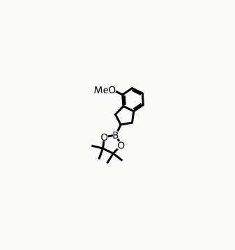 COc1cccc2c1CC(B1OC(C)(C)C(C)(C)O1)C2